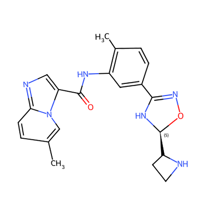 Cc1ccc2ncc(C(=O)Nc3cc(C4=NO[C@@H](C5CCN5)N4)ccc3C)n2c1